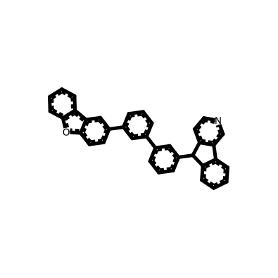 c1cc(-c2cccc(C3c4ccccc4-c4cnccc43)c2)cc(-c2ccc3oc4ccccc4c3c2)c1